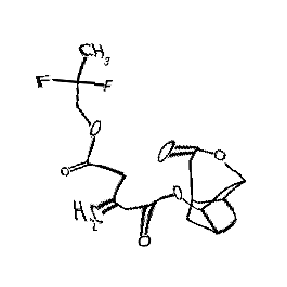 C=C(CC(=O)OCC(C)(F)F)C(=O)OC1C2CC3C(=O)OC1C3C2